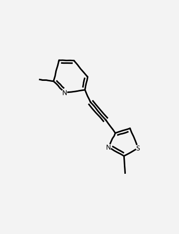 Cc1cccc(C#Cc2csc(C)n2)n1